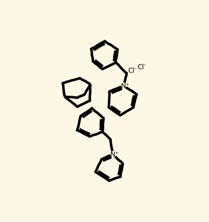 C1CC2CCC1CC2.[Cl-].[Cl-].c1ccc(C[n+]2ccccc2)cc1.c1ccc(C[n+]2ccccc2)cc1